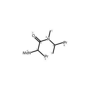 CNC(C(=O)N(C)C(C)C(C)C)C(C)C